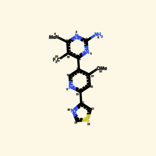 CNc1nc(N)nc(-c2cnc(-c3cscn3)cc2OC)c1C(F)(F)F